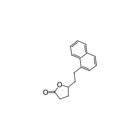 O=C1CCC(CCc2cccc3ccccc23)O1